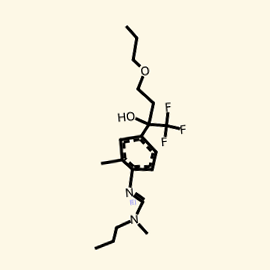 CCCOCCC(O)(c1ccc(/N=C/N(C)CCC)c(C)c1)C(F)(F)F